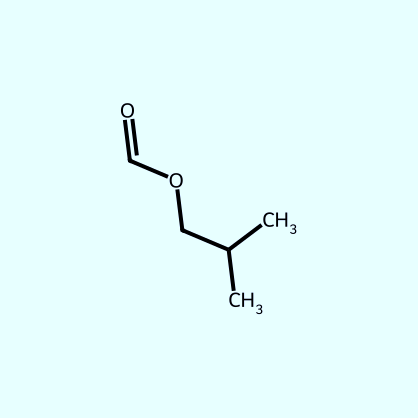 CC(C)COC=O